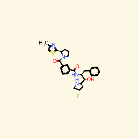 Cc1csc([C@H]2CCCN2C(=O)c2cccc(C(=O)N[C@@H](Cc3ccccc3)[C@H](O)[C@H]3C[C@H](F)CN3)c2)n1